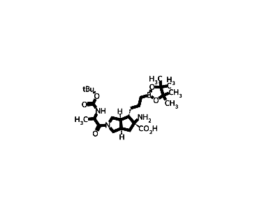 CC(NC(=O)OC(C)(C)C)C(=O)N1C[C@@H]2C[C@@](N)(C(=O)O)[C@@H](CCCB3OC(C)(C)C(C)(C)O3)[C@@H]2C1